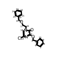 O=c1c(OCc2ccccc2)nc(Cl)cn1CCOCc1ccccc1